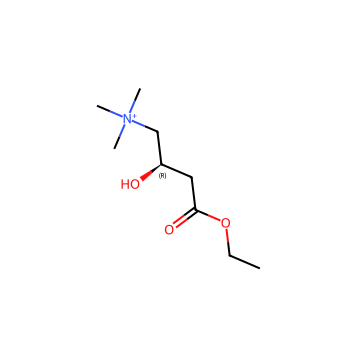 CCOC(=O)C[C@@H](O)C[N+](C)(C)C